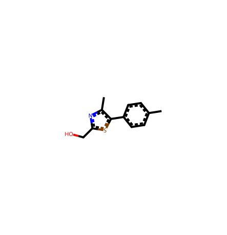 Cc1ccc(-c2sc(CO)nc2C)cc1